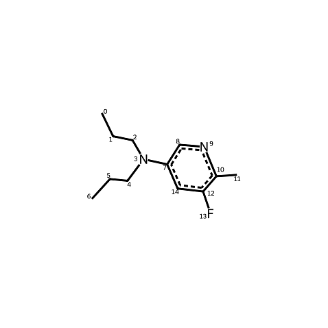 CCCN(CCC)c1cnc(C)c(F)c1